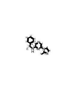 Cc1nccn1-c1cncc(N[C@H](C)c2ccccc2)n1